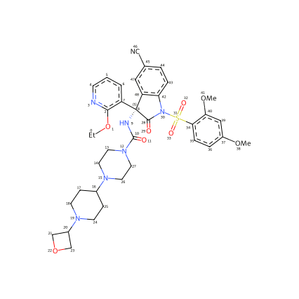 CCOc1ncccc1[C@]1(NC(=O)N2CCN(C3CCN(C4COC4)CC3)CC2)C(=O)N(S(=O)(=O)c2ccc(OC)cc2OC)c2ccc(C#N)cc21